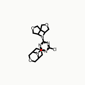 Clc1nc(N2C3COCC2COC3)nc(N2C3COCC34COCC24)n1